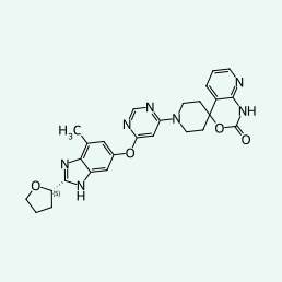 Cc1cc(Oc2cc(N3CCC4(CC3)OC(=O)Nc3ncccc34)ncn2)cc2[nH]c([C@@H]3CCCO3)nc12